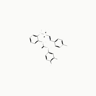 Cc1ccc(/C=C/S(=O)(=O)Nc2ccccc2NC(=O)Nc2ccc(Cl)c(Cl)c2)cc1